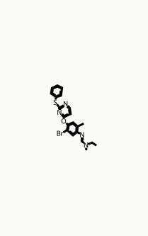 CCN(C)C=Nc1cc(Br)c(Oc2ccnc(Sc3ccccc3)n2)cc1C